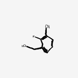 N#Cc1cccc(CO)c1F